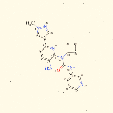 Cn1cc(-c2ccc(N)c(N(C(=O)Nc3cccnc3)C3CCC3)n2)cn1